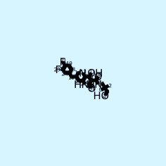 CC(C)(CO)CNC(=O)c1c(O)c2ncc(Cc3ccc(F)c(F)c3)cc2[nH]c1=O